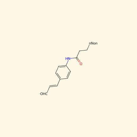 CCCCCCCCCCCC(=O)Nc1ccc(C=C[C]=O)cc1